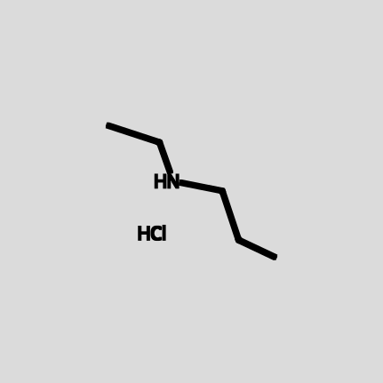 CCCNCC.Cl